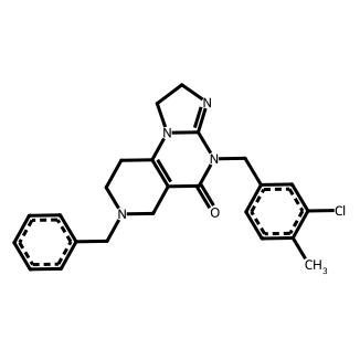 Cc1ccc(CN2C(=O)C3=C(CCN(Cc4ccccc4)C3)N3CCN=C23)cc1Cl